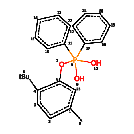 Cc1ccc(C(C)(C)C)c(OP(O)(O)(c2ccccc2)c2ccccc2)c1